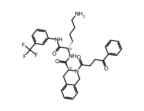 NCCCC[C@H](NC(=O)[C@@H]1Cc2ccccc2CN1C(=O)CCC(=O)c1ccccc1)C(=O)Nc1cccc(C(F)(F)F)c1